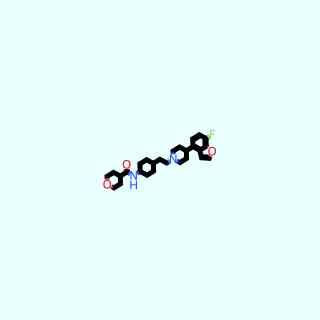 O=C(NC1CCC(CCN2CCC(c3ccc(F)c4occc34)CC2)CC1)C1CCOCC1